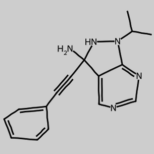 CC(C)N1NC(N)(C#Cc2ccccc2)c2cncnc21